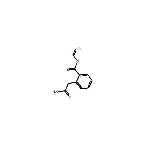 C=COC(=O)c1ccccc1CC(C)=O